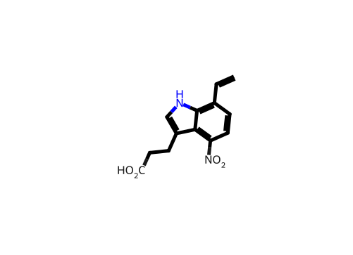 C=Cc1ccc([N+](=O)[O-])c2c(CCC(=O)O)c[nH]c12